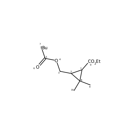 CCOC(=O)C1C(COC(=O)C(C)(C)C)C1(C)C